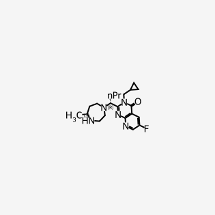 CCC[C@H](c1nc2ncc(F)cc2c(=O)n1CC1CC1)N1CCN[C@@H](C)CC1